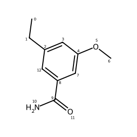 CCc1cc(OC)cc(C(N)=O)c1